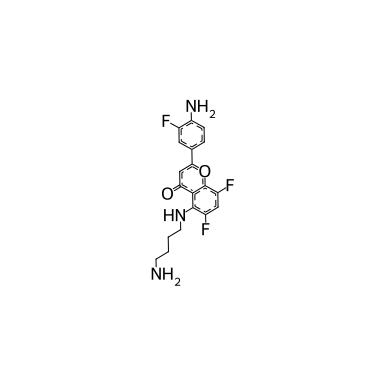 NCCCCNc1c(F)cc(F)c2oc(-c3ccc(N)c(F)c3)cc(=O)c12